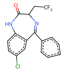 O=C1Nc2ccc(Cl)cc2C(c2ccccc2)=NC1CC(F)(F)F